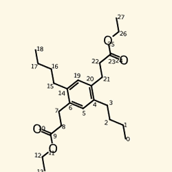 CCCCc1cc(CCC(=O)OCC)c(CCCC)cc1CCC(=O)OCC